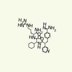 N=C(N)NCCC[C@H](NC(=O)[C@@H](NC(=O)[C@@H](Cc1ccc(C(=N)N)cc1)c1cccnc1)C1CCCCC1)C(N)=O